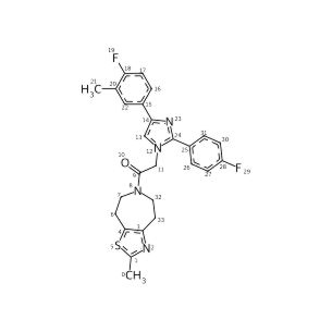 Cc1nc2c(s1)CCN(C(=O)Cn1cc(-c3ccc(F)c(C)c3)nc1-c1ccc(F)cc1)CC2